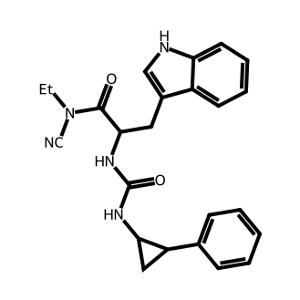 CCN(C#N)C(=O)C(Cc1c[nH]c2ccccc12)NC(=O)NC1CC1c1ccccc1